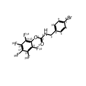 O=C(NCc1ccc(Br)cc1)Oc1c(F)c(F)c(F)c(F)c1F